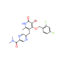 Cc1[nH]c(=O)c(Br)c(OCc2ccc(F)cc2F)c1Cc1cnc(C(=O)N(C)C)cn1